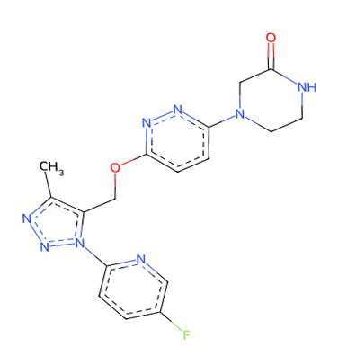 Cc1nnn(-c2ccc(F)cn2)c1COc1ccc(N2CCNC(=O)C2)nn1